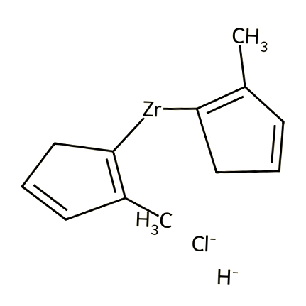 CC1=[C]([Zr][C]2=C(C)C=CC2)CC=C1.[Cl-].[H-]